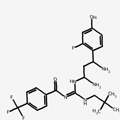 CC(C)(C)CN/C(=N/C(=O)c1ccc(C(F)(F)F)cc1)NC(N)CC(N)c1ccc(O)cc1F